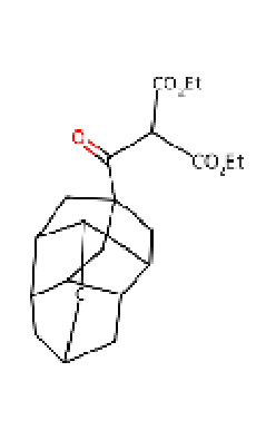 CCOC(=O)C(C(=O)OCC)C(=O)C12CC3C4CC5CC3C(C1)C(C5)C4C2